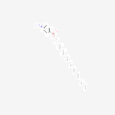 CCCCCCCCCCCCCCCCCCOC(=O)c1ccc([NH])cc1